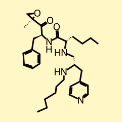 CCCCCCN[C@H](CN[C@@H](CCCC)C(=O)N[C@@H](Cc1ccccc1)C(=O)[C@@]1(C)CO1)Cc1ccncc1